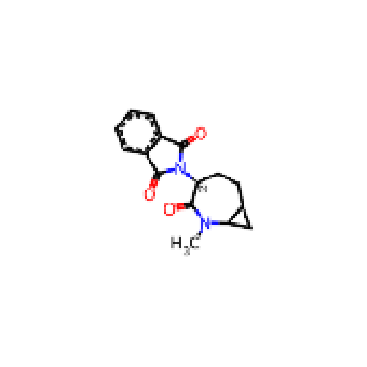 CN1C(=O)[C@@H](N2C(=O)c3ccccc3C2=O)CCC2CC21